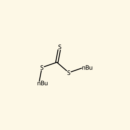 CCCCSC(=S)SCCCC